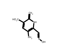 C=C1NC(C=NO)=C(P)C=C1C(=O)O